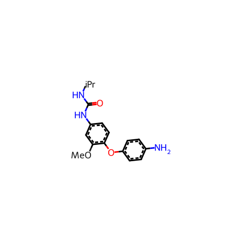 COc1cc(NC(=O)NC(C)C)ccc1Oc1ccc(N)cc1